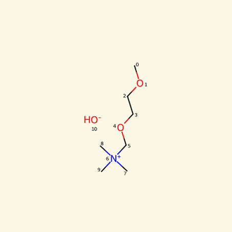 COCCOC[N+](C)(C)C.[OH-]